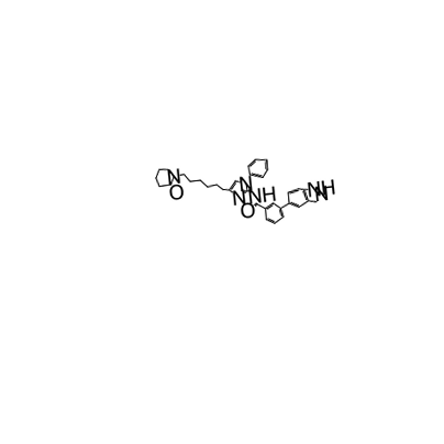 O=C(Nc1nc(CCCCCCN2CCCCC2=O)cn1-c1ccccc1)c1cccc(-c2ccc3[nH]ncc3c2)c1